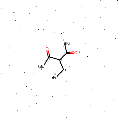 CCC(C)C(=O)C(CC(C)C)C(=O)C(C)(C)C